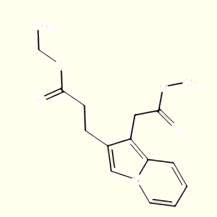 CCOC(=O)CCc1cn2ccccc2c1CC(=O)OC